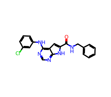 O=C(NCc1ccccc1)c1cc2c(Nc3cccc(Cl)c3)ncnc2[nH]1